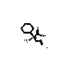 C=CC[C@@](N)(C(=O)O)C1CCCCC1